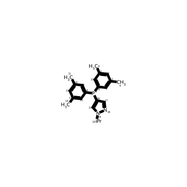 Cc1cc(C)cc(P(c2cc(C)cc(C)c2)c2cnn(C(C)C)c2)c1